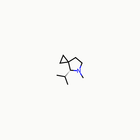 CC(C)[C@H]1N(C)CCC12CC2